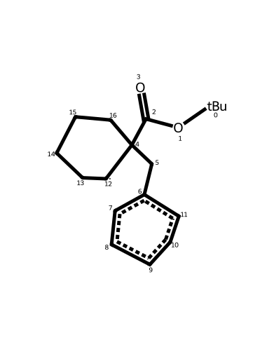 CC(C)(C)OC(=O)C1(Cc2ccccc2)[CH]CCCC1